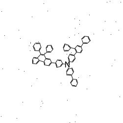 c1ccc(-c2ccc(N(c3ccc(-c4ccc5c(c4)c(-c4ccccc4)c(-c4ccccc4)c4ccccc45)cc3)c3ccc(-c4ccc(-c5ccccc5)cc4-c4ccccc4)cc3)cc2)cc1